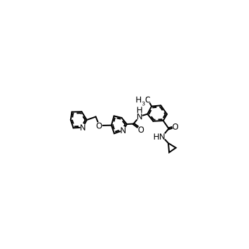 Cc1ccc(C(=O)NC2CC2)cc1NC(=O)c1ccc(OCc2ccccn2)cn1